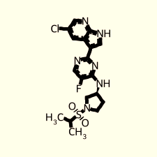 CC(C)S(=O)(=O)N1CC[C@H](Nc2nc(-c3c[nH]c4ncc(Cl)cc34)ncc2F)C1